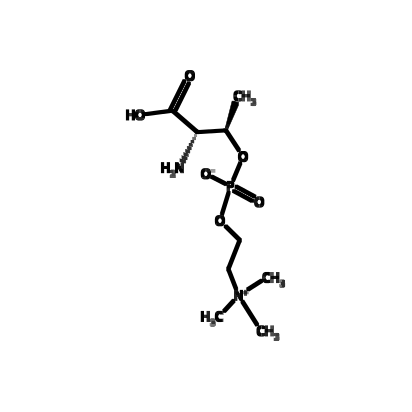 C[C@@H](OP(=O)([O-])OCC[N+](C)(C)C)[C@H](N)C(=O)O